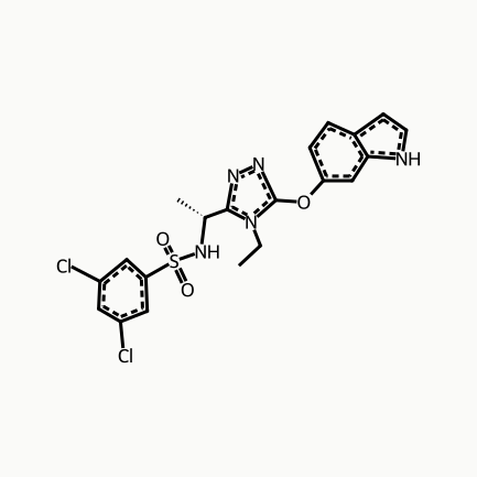 CCn1c(Oc2ccc3cc[nH]c3c2)nnc1[C@@H](C)NS(=O)(=O)c1cc(Cl)cc(Cl)c1